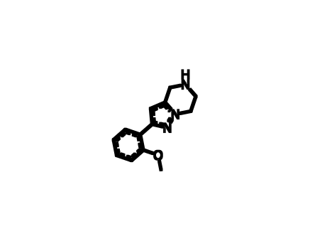 COc1ccccc1-c1cc2n(n1)CCNC2